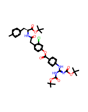 Cc1ccc(C[C@H](NC(=O)Cc2ccc(OC(=O)c3ccc(N/C(=N\C(=O)OC(C)(C)C)NC(=O)OC(C)(C)C)cc3)cc2Cl)C(=O)OC(C)(C)C)cc1